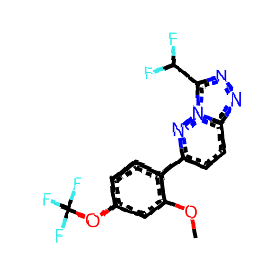 COc1cc(OC(F)(F)F)ccc1-c1ccc2nnc(C(F)F)n2n1